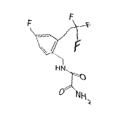 NC(=O)C(=O)NCc1ccc(F)cc1C(F)(F)F